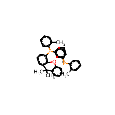 Cc1ccccc1P(c1ccccc1)c1cccc2c1Oc1c([P@@](c3ccccc3)c3ccccc3C)cccc1C2(C)C